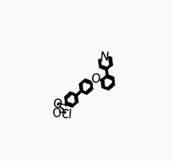 O=S(=O)(Cl)c1ccc(-c2ccc(Oc3ccccc3-c3ccncc3)cc2)cc1